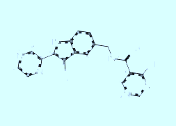 Cc1ncncc1C(=O)NCc1ccc2[nH]c(-c3cnccn3)c(C)c2c1